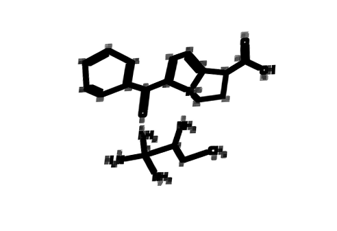 CCC(N)C(N)(N)N.O=C(c1ccccc1)c1ccc2n1CCC2C(=O)O